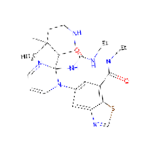 CCNC(=O)NC1(C2CNCCC2(C)C(=O)O)N=CC=CN1c1cc(C(=O)NCC)c2scnc2c1